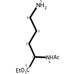 CCOC(=O)C(CCCN)NC(C)=O